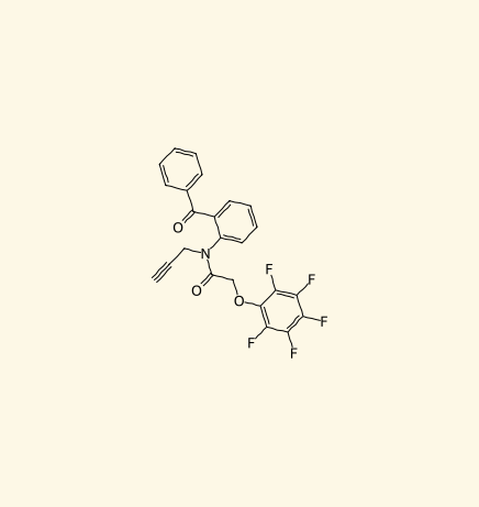 C#CCN(C(=O)COc1c(F)c(F)c(F)c(F)c1F)c1ccccc1C(=O)c1ccccc1